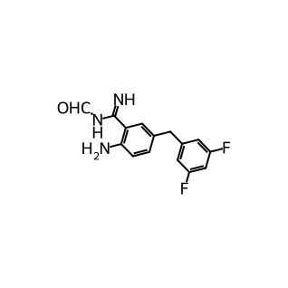 N=C(NC=O)c1cc(Cc2cc(F)cc(F)c2)ccc1N